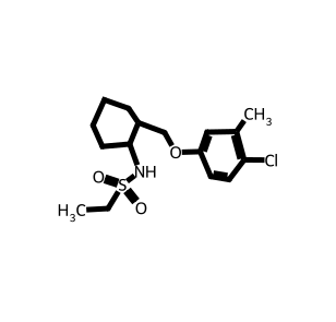 CCS(=O)(=O)NC1CCCCC1COc1ccc(Cl)c(C)c1